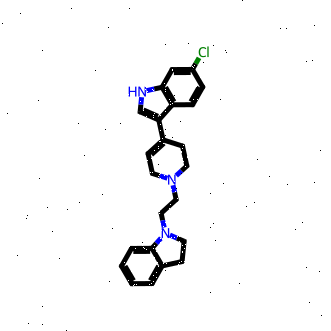 Clc1ccc2c(C3=CCN(CCN4CCc5ccccc54)CC3)c[nH]c2c1